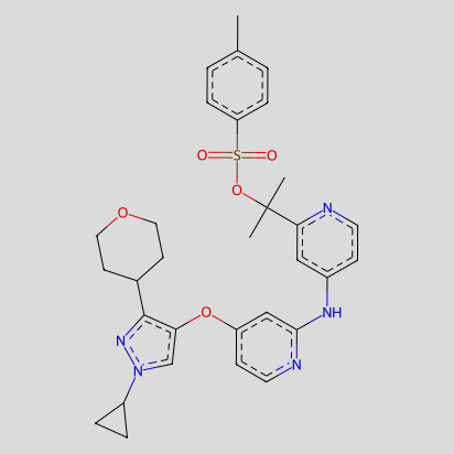 Cc1ccc(S(=O)(=O)OC(C)(C)c2cc(Nc3cc(Oc4cn(C5CC5)nc4C4CCOCC4)ccn3)ccn2)cc1